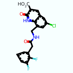 O=C(Cc1cccc(F)c1F)NCc1cc(Cl)cc2cc(C(=O)O)c(=O)[nH]c12